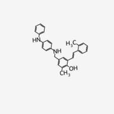 Cc1ccccc1/C=C/c1cc(CNc2ccc(Nc3ccccc3)cc2)cc(C)c1O